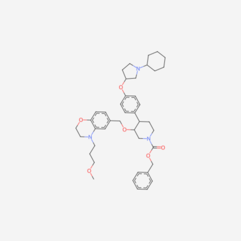 COCCCN1CCOc2ccc(COC3CN(C(=O)OCc4ccccc4)CCC3c3ccc(OC4CCN(C5CCCCC5)C4)cc3)cc21